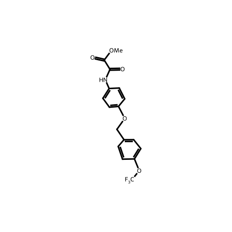 COC(=O)C(=O)Nc1ccc(OCc2ccc(OC(F)(F)F)cc2)cc1